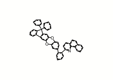 c1ccc(C2(c3ccccc3)c3ccccc3-c3cc4c(cc32)Oc2ccc(-c3ccccc3-c3ccc5ccc6ccccc6c5n3)cc2O4)cc1